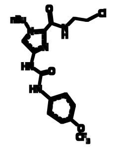 CCCCn1cc(NC(=O)Nc2ccc(OC(F)(F)F)cc2)nc1C(=O)NCCCl